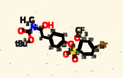 CN(C(=O)OC(C)(C)C)C(O)Cc1ccc(OS(=O)(=O)c2ccc(Br)cc2OC(F)(F)F)cc1